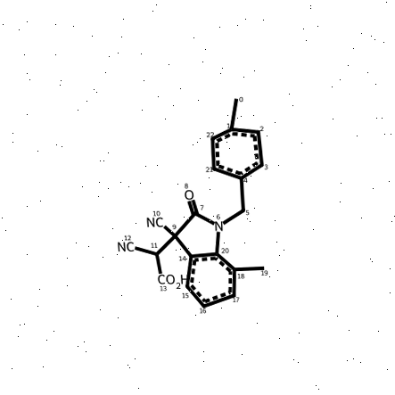 Cc1ccc(CN2C(=O)C(C#N)(C(C#N)C(=O)O)c3cccc(C)c32)cc1